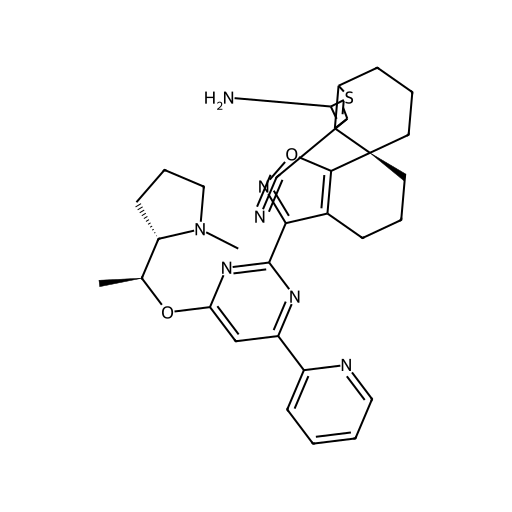 C[C@H](Oc1cc(-c2ccccn2)nc(-c2noc3c2CCC[C@@]32CCCc3sc(N)c(C#N)c32)n1)[C@@H]1CCCN1C